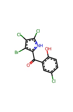 O=C(c1cc(Cl)ccc1O)c1[nH]c(Cl)c(Cl)c1Br